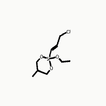 CCO[Si]1(C=CCCl)OCC(C)CO1